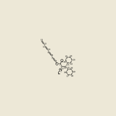 [C-]#[N+]C(C(=O)OC#CC#CC#CC#C)=C(c1ccccc1)c1ccccc1